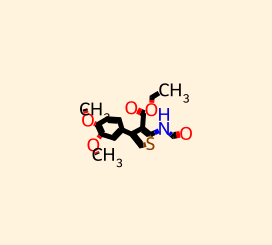 CCOC(=O)c1c(-c2ccc(OC)c(OC)c2)csc1NC=O